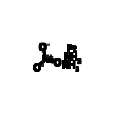 N.N.O=[N+]([O-])[O-].[Pt]